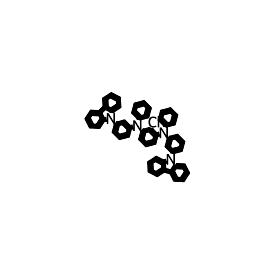 Clc1c(N(c2ccccc2)c2cccc(-n3c4ccccc4c4ccccc43)c2)cccc1N(c1ccccc1)c1cccc(-n2c3ccccc3c3ccccc32)c1